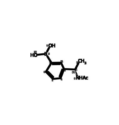 CC(=O)N[C@@H](C)c1cccc(B(O)O)c1